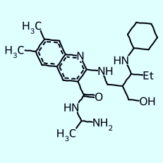 CCC(NC1CCCCC1)C(CO)CNc1nc2cc(C)c(C)cc2cc1C(=O)NC(C)N